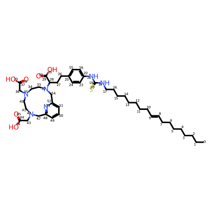 CCCCCCCCC=CCCCCCCCCNC(=S)Nc1ccc(CCC(C(=O)O)N2CCN(CC(=O)O)CCN(CC(=O)O)Cc3cccc(n3)C2)cc1